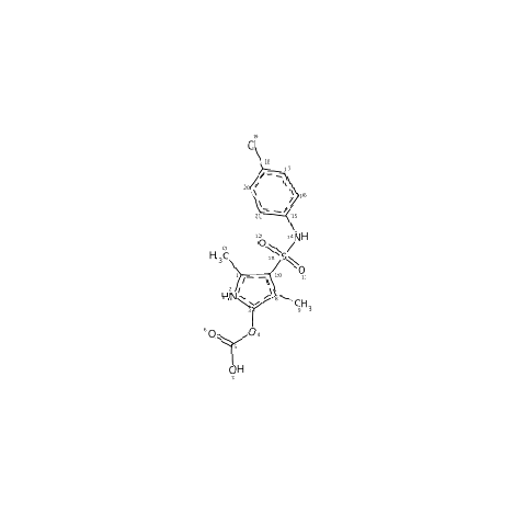 Cc1[nH]c(OC(=O)O)c(C)c1S(=O)(=O)Nc1ccc(Cl)cc1